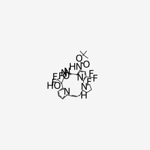 CC(C)(C)OC(=O)Nc1cc(C(F)(F)F)c2nc1-c1nnc(o1)C(O)(C(F)(F)F)c1cccc(n1)C=CC[C@@H]1CCCN21